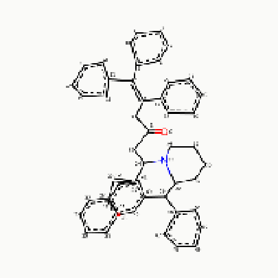 O=C(CC(=C(c1ccccc1)c1ccccc1)c1ccccc1)CC(/C=C/c1ccccc1)N1CCCCC1C(c1ccccc1)c1ccccc1